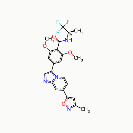 COc1cc(-c2cnc3cc(-c4cc(C)no4)ccn23)cc(OC)c1C(=O)N[C@H](C)C(F)(F)F